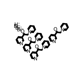 O=C(C[n+]1ccccc1)c1cccnc1.O=C(C[n+]1ccccc1)c1cccnc1.O=C(C[n+]1ccccc1)c1cccnc1.O=C(C[n+]1ccccc1)c1cccnc1.[Br-].[Br-].[Br-].[H-]